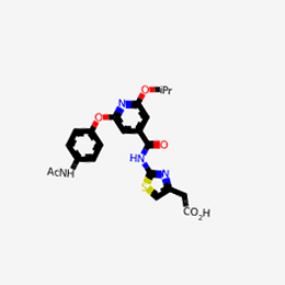 CC(=O)Nc1ccc(Oc2cc(C(=O)Nc3nc(CC(=O)O)cs3)cc(OC(C)C)n2)cc1